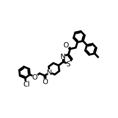 Cc1ccc(-c2ccccc2CC(=O)c2csc(C3CCN(C(=O)COc4ccccc4Cl)CC3)n2)cc1